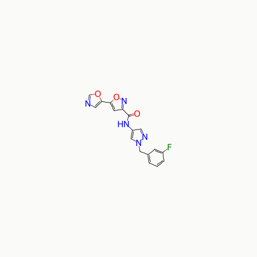 O=C(Nc1cnn(Cc2cccc(F)c2)c1)c1cc(-c2cnco2)on1